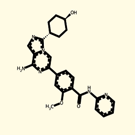 COc1cc(-c2cn3c(cnc3[C@H]3CC[C@H](O)CC3)c(N)n2)ccc1C(=O)Nc1ccccn1